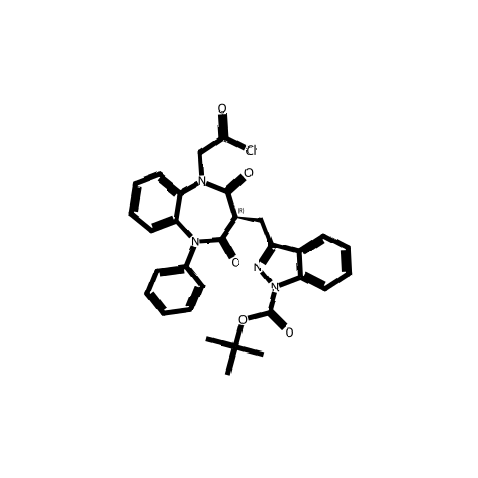 CC(C)(C)OC(=O)n1nc(C[C@@H]2C(=O)N(CC(=O)Cl)c3ccccc3N(c3ccccc3)C2=O)c2ccccc21